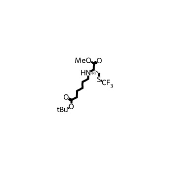 COC(=O)[C@H](CSC(F)(F)F)NCCCCCC(=O)OC(C)(C)C